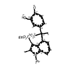 CCOC(=O)c1c(C)n(C(C)C)c2cccc(C(C)(C(=O)O)c3ccc(Cl)c(O)c3)c12